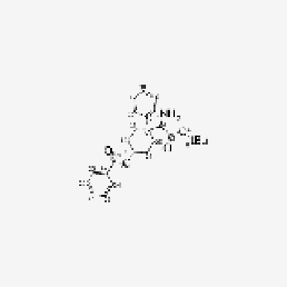 CC(C)(C)OC(=O)C(N)[C@]1(c2ccccc2)CC[C@@H](OC(=O)c2ccccc2)CC1